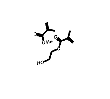 C=C(C)C(=O)OC.C=C(C)C(=O)OCCO